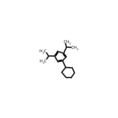 CC(C)c1cc(C(C)C)cc(C2CCCCC2)c1